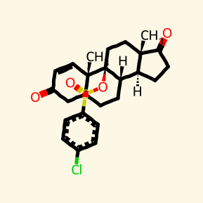 C[C@]12C=CC(=O)CC1CC[C@H]1[C@@H]3CCC(=O)[C@@]3(C)CC[C@]12OS(=O)c1ccc(Cl)cc1